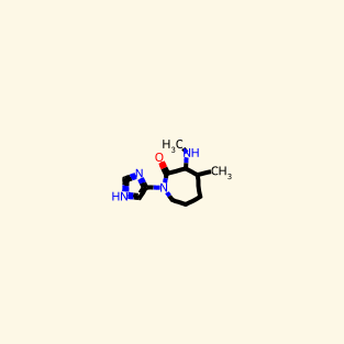 CNC1C(=O)N(c2c[nH]cn2)CCCC1C